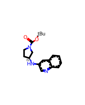 CC(C)(C)OC(=O)N1CC[C@H](Nc2cnc3ccccc3c2)C1